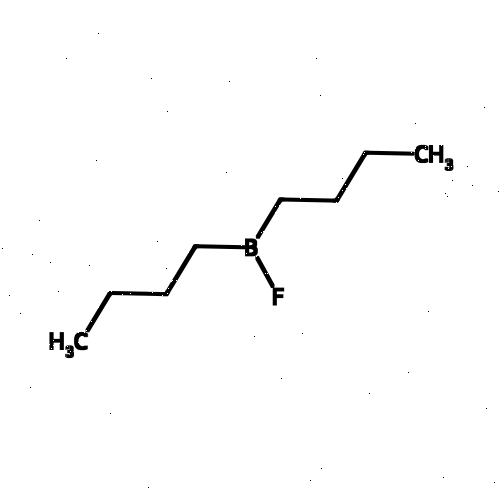 CCCCB(F)CCCC